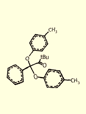 Cc1ccc(OC(Oc2ccc(C)cc2)(C(=O)C(C)(C)C)c2ccccc2)cc1